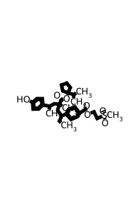 CCC(CC(C)(CC(C)c1ccc(O)cc1)C(=O)OC1(C(C)C)CCCC1)c1ccc(C(=O)OCCS(C)(=O)=O)cc1